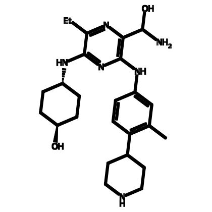 CCc1nc(C(N)O)c(Nc2ccc(C3CCNCC3)c(C)c2)nc1N[C@H]1CC[C@H](O)CC1